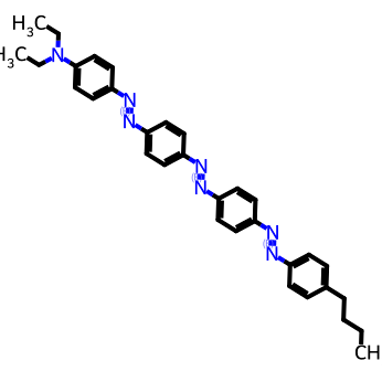 CCCCc1ccc(/N=N/c2ccc(/N=N/c3ccc(/N=N/c4ccc(N(CC)CC)cc4)cc3)cc2)cc1